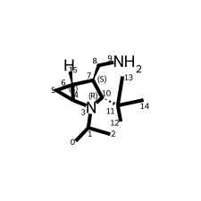 CC(C)N1C2C[C@@H]2[C@@H](CN)[C@@H]1C(C)(C)C